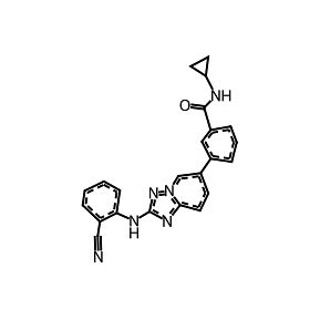 N#Cc1ccccc1Nc1nc2ccc(-c3cccc(C(=O)NC4CC4)c3)cn2n1